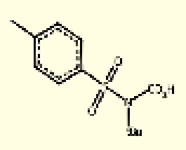 Cc1ccc(S(=O)(=O)N(C(=O)O)C(C)(C)C)cc1